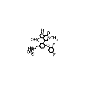 Cn1cc(-c2cc(CCN[SH](=O)=O)ccc2Oc2ccc(F)cc2F)c2c(C=O)c[nH]c2c1=O